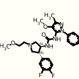 COCCN1C[C@@H](NC(=O)Nc2c(OC)c(C)nn2-c2ccccc2)[C@H](c2ccc(F)c(F)c2)C1